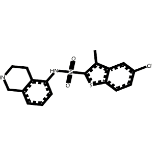 Cc1c(S(=O)(=O)Nc2cccc3c2CCNC3)sc2ccc(Cl)cc12